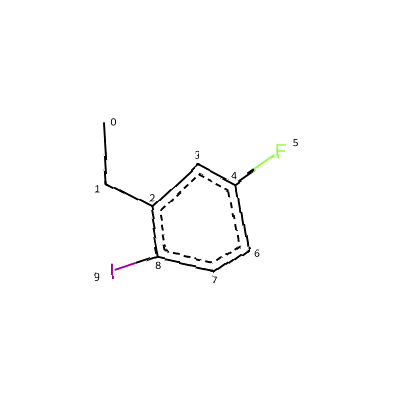 CCc1cc(F)ccc1I